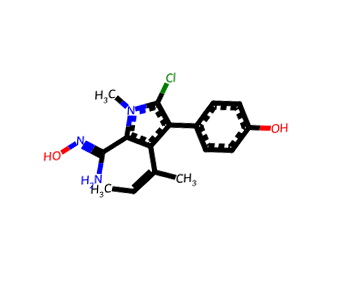 C/C=C(/C)c1c(-c2ccc(O)cc2)c(Cl)n(C)c1/C(N)=N/O